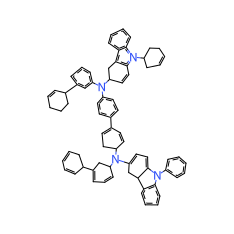 C1=CCC(C2=CC=CC(N(C3=CC=C4C(C3)c3ccccc3N4c3ccccc3)C3C=CC(c4ccc(N(c5cccc(C6C=CCCC6)c5)C5C=Cc6c(c7ccccc7n6C6CC=CCC6)C5)cc4)=CC3)C2)C=C1